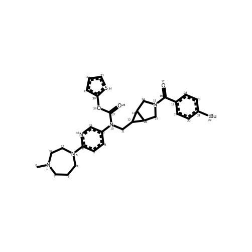 CN1CCCN(c2ccc(N(CC3C4CN(C(=O)c5ccc(C(C)(C)C)cc5)CC43)C(=O)Oc3cccs3)cn2)CC1